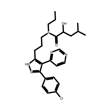 CCCN(CCCc1[nH]nc(-c2ccc(Cl)cc2)c1-c1ccncn1)C(=O)C(O)CC(C)C